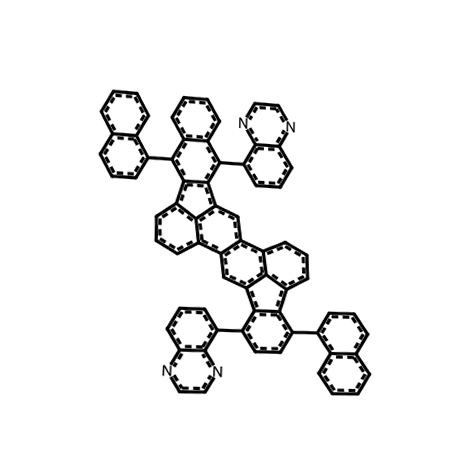 c1ccc2c(-c3ccc(-c4cccc5nccnc45)c4c5cc6c(cc7c8c(-c9cccc%10nccnc9%10)c9ccccc9c(-c9cccc%10ccccc9%10)c8c8cccc6c87)c6cccc(c34)c65)cccc2c1